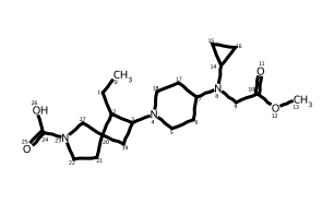 CCC1C(N2CCC(N(CC(=O)OC)C3CC3)CC2)CC12CCN(C(=O)O)C2